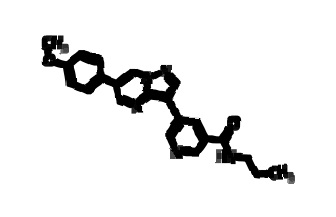 CCCNC(=O)c1cncc(-c2cnn3cc(-c4ccc(OC)cc4)cnc23)c1